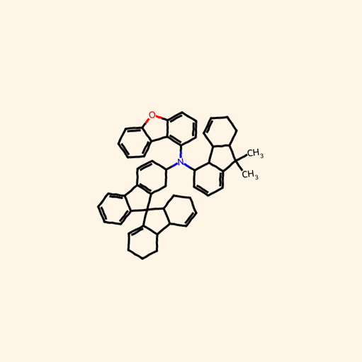 CC1(C)C2=CC=CC(N(c3cccc4oc5ccccc5c34)C3C=CC4=C(C3)C3(C5=CCCCC5C5C=CCCC53)c3ccccc34)C2C2C=CCCC21